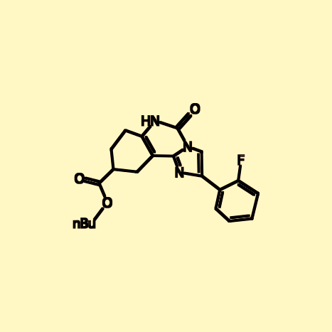 CCCCOC(=O)C1CCc2[nH]c(=O)n3cc(-c4ccccc4F)nc3c2C1